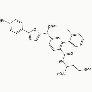 COC(c1ccc(C(=O)NC(CCSC)C(=O)O)c(-c2ccccc2C)c1)c1ccc(-c2ccc(C(C)C)cc2)o1